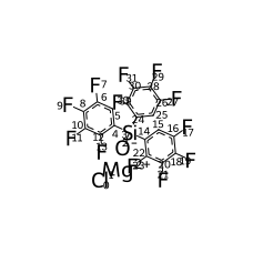 [Cl-].[Mg+2].[O-][Si](c1cc(F)c(F)c(F)c1F)(c1cc(F)c(F)c(F)c1F)c1cc(F)c(F)c(F)c1F